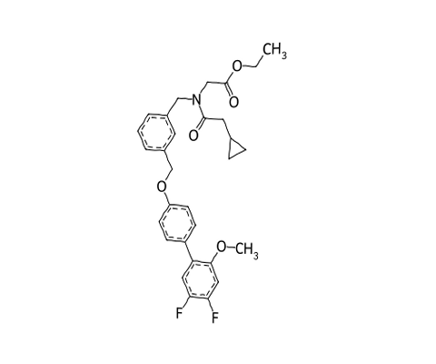 CCOC(=O)CN(Cc1cccc(COc2ccc(-c3cc(F)c(F)cc3OC)cc2)c1)C(=O)CC1CC1